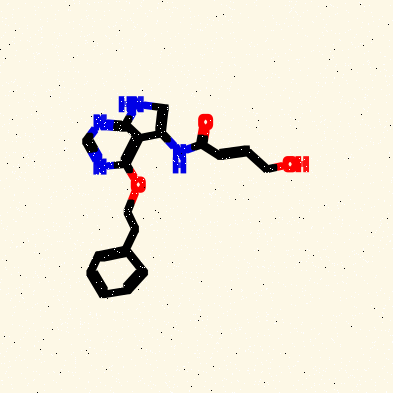 O=C(/C=C/CO)Nc1c[nH]c2ncnc(OCCc3ccccc3)c12